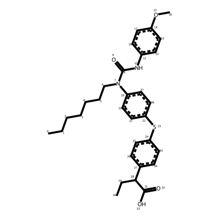 CCCCCCCN(C(=O)Nc1ccc(OC)cc1)c1ccc(Sc2ccc(C(CC)C(=O)O)cc2)cc1